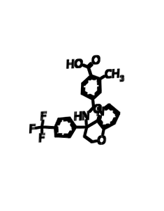 Cc1cc(C(=O)NC2(c3ccc(C(F)(F)F)cc3)CCOc3cccnc32)ccc1C(=O)O